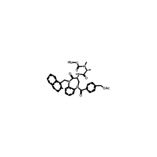 CC(=O)OCc1ccc(C(=O)N2C[C@H](NC(=O)[C@H](C)N(C)C(=O)OC(C)(C)C)C(=O)N(Cc3c(C)ccc4ccccc34)c3ccccc32)cc1